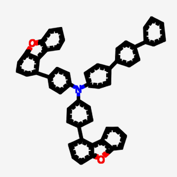 c1ccc(-c2ccc(-c3ccc(N(c4ccc(-c5cccc6oc7ccccc7c56)cc4)c4ccc(-c5cccc6oc7ccccc7c56)cc4)cc3)cc2)cc1